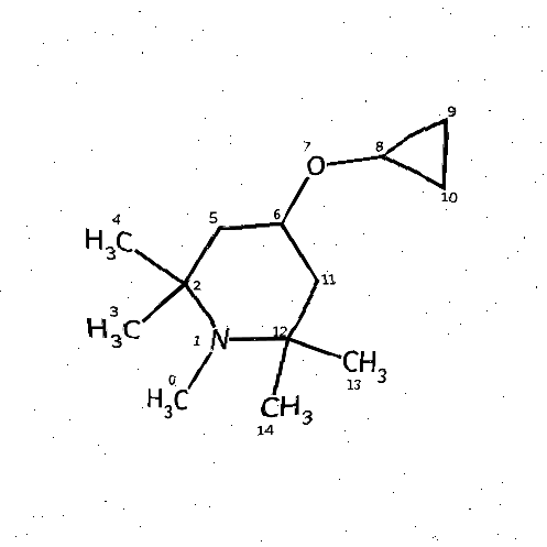 CN1C(C)(C)CC(OC2CC2)CC1(C)C